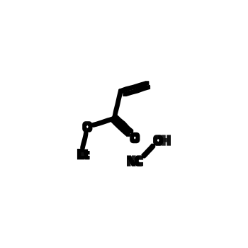 C=CC(=O)OCC.N#CO